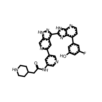 O=C(CC1CCNCC1)Nc1cncc(-c2cc3c(-c4nc5c(-c6cc(O)cc(F)c6)ccnc5[nH]4)n[nH]c3cn2)c1